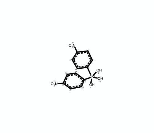 O=[N+]([O-])c1ccc(P(O)(O)(O)c2ccc([N+](=O)[O-])cc2)cc1